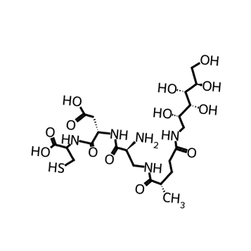 C[C@@H](CCC(=O)NC[C@H](O)[C@@H](O)[C@H](O)[C@H](O)CO)C(=O)NC[C@H](N)C(=O)N[C@@H](CC(=O)O)C(=O)NC(CS)C(=O)O